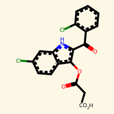 O=C(O)CC(=O)Oc1c(C(=O)c2ccccc2Cl)[nH]c2cc(Cl)ccc12